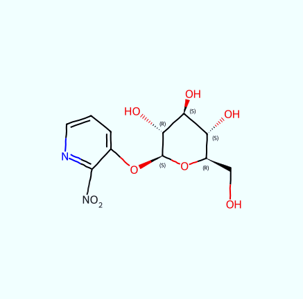 O=[N+]([O-])c1ncccc1O[C@@H]1O[C@H](CO)[C@@H](O)[C@H](O)[C@H]1O